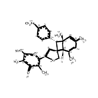 COc1oc([C@H]2C[C@@]3(CO2)[C@H](c2ccc([N+](=O)[O-])cc2)[C@]2(C)C=C(C)C=C(C)[C@@H]23)c(C)c(=O)c1C